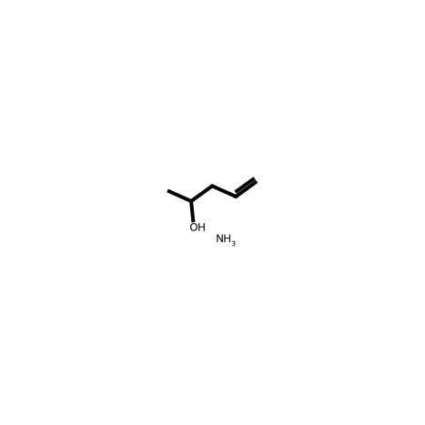 C=CCC(C)O.N